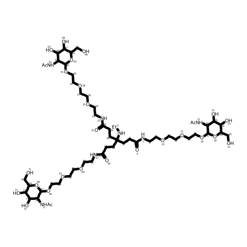 CCNC(CCC(=O)NCCOCCOCCOC1OC(CO)C(O)C(O)C1NC(C)=O)(CCC(=O)NCCOCCOCCOC1OC(CO)C(O)C(O)C1NC(C)=O)CCC(=O)NCCOCCOCCOC1OC(CO)C(O)C(O)C1NC(C)=O